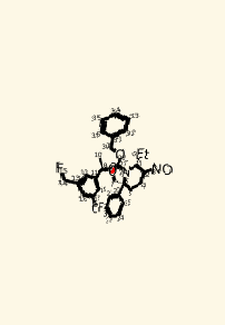 CC[C@@H]1C(N=O)CC[C@@](CO[C@H](C)c2cc(CF)cc(C(F)(F)F)c2)(c2ccccc2)N1C(=O)OCc1ccccc1